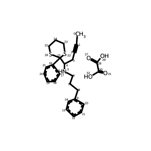 CC#CCC(NCCCc1ccccc1)C1(c2ccccc2)SCCCS1.O=C(O)C(=O)O